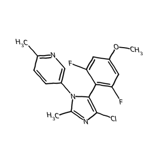 COc1cc(F)c(-c2c(Cl)nc(C)n2-c2ccc(C)nc2)c(F)c1